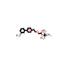 Cc1cccc(C23CCC(CCOCC(=O)OC(C)(C)C)(CC2)OC3)c1